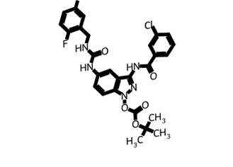 CC(C)(C)OC(=O)On1nc(NC(=O)c2cccc(Cl)c2)c2cc(NC(=O)NCc3cc(F)ccc3F)ccc21